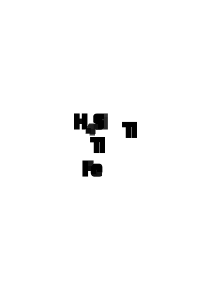 [Fe].[SiH4].[Ti].[Ti]